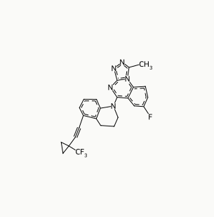 Cc1nnc2nc(N3CCCc4c(C#CC5(C(F)(F)F)CC5)cccc43)c3cc(F)ccc3n12